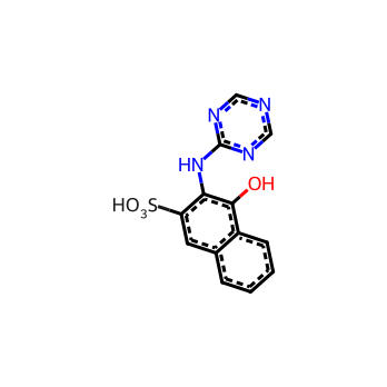 O=S(=O)(O)c1cc2ccccc2c(O)c1Nc1ncncn1